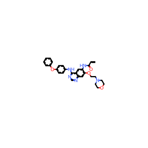 C=CC(=O)Nc1cc2c(Nc3ccc(Oc4ccccc4)cc3)ncnc2cc1OCCN1CCOCC1